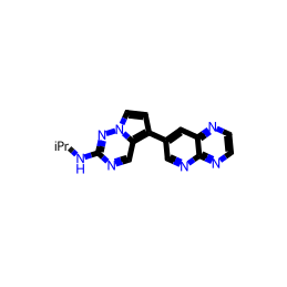 CC(C)Nc1ncc2c(-c3cnc4nccnc4c3)ccn2n1